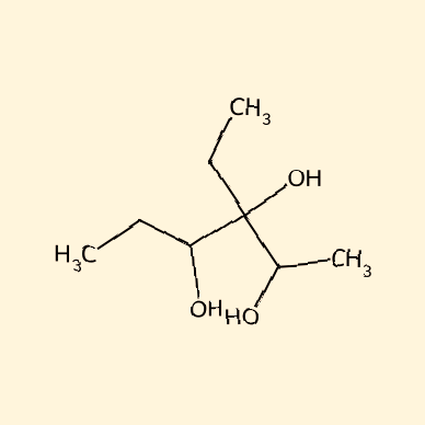 CCC(O)C(O)(CC)C(C)O